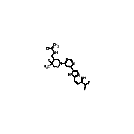 C[S+]([O-])NCC1CN(c2cc(-c3cnc(/C=C\C(=N)C(F)F)[nH]3)ncn2)CCC1(C)F